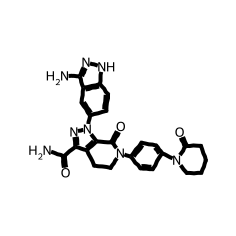 NC(=O)c1nn(-c2ccc3[nH]nc(N)c3c2)c2c1CCN(c1ccc(N3CCCCC3=O)cc1)C2=O